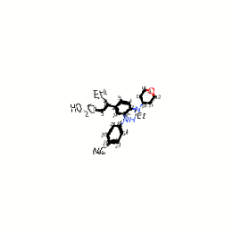 CCC(CC(=O)O)c1ccc(N(CC)C2CCOCC2)c(Nc2ccc(C#N)cc2)c1